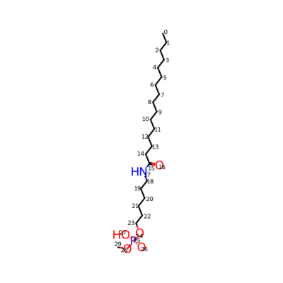 CCCCCCCCCCCCCCCC(=O)NCCCCCCOP(=O)(O)OC